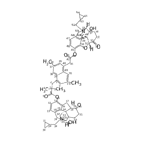 Cc1cc(CC(C)(C)C(=O)Oc2ccc3c4c2C[C@H]2C(=O)CC[C@@]5(O)[C@@H](C3)N(CC3CC3)CC[C@]425)c2cc(C)cc(CC(=O)Oc3ccc4c5c3O[C@H]3C(=O)CC[C@@]6(O)[C@@H](C4)N(CC4CC4)CC[C@]536)c2c1